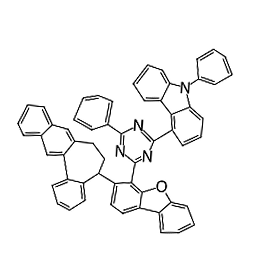 c1ccc(-c2nc(-c3c(C4CCc5cc6ccccc6cc5-c5ccccc54)ccc4c3oc3ccccc34)nc(-c3cccc4c3c3ccccc3n4-c3ccccc3)n2)cc1